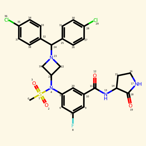 CS(=O)(=O)N(c1cc(F)cc(C(=O)NC2CCNC2=O)c1)C1CN(C(c2ccc(Cl)cc2)c2ccc(Cl)cc2)C1